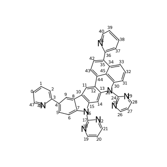 c1ccc(-c2ccc3c(c2)c2cc4c(cc2n3-c2ncccn2)N(c2ncccn2)c2cccc3c(-c5ccccn5)ccc-4c23)nc1